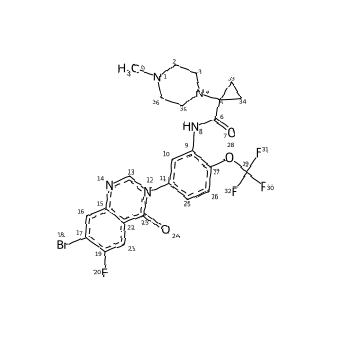 CN1CCN(C2(C(=O)Nc3cc(-n4cnc5cc(Br)c(F)cc5c4=O)ccc3OC(F)(F)F)CC2)CC1